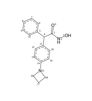 O=C(NO)C(c1ccccc1)c1ccc(N2CCC2)cc1